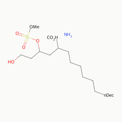 CCCCCCCCCCCCCCCCC(CC(CCO)OS(=O)(=O)OC)C(=O)O.N